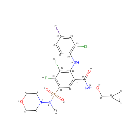 CCN(N1CCOCC1)S(=O)(=O)c1cc(C(=O)NOCC2CC2)c(Nc2ccc(I)cc2Cl)c(F)c1F